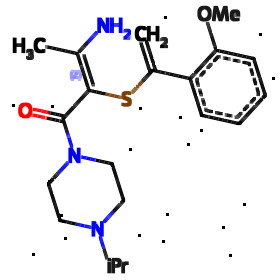 C=C(S/C(C(=O)N1CCN(C(C)C)CC1)=C(/C)N)c1ccccc1OC